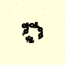 CN1CCN(Cc2ccc(CNC(=O)C3CCN(c4nc5ccccc5n4Cc4ccc(F)cc4)CC3)cc2)CC1.O=C(O)C(F)(F)F